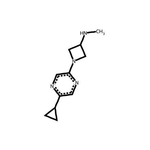 CNC1CN(c2cnc(C3CC3)cn2)C1